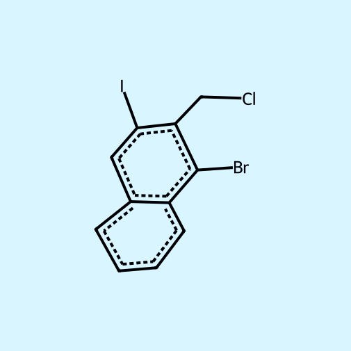 ClCc1c(I)cc2ccccc2c1Br